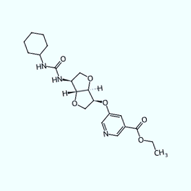 CCOC(=O)c1cncc(O[C@H]2CO[C@H]3[C@H]2OC[C@@H]3NC(=O)NC2CCCCC2)c1